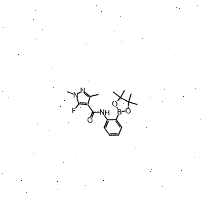 Cc1nn(C)c(F)c1C(=O)Nc1ccccc1B1OC(C)(C)C(C)(C)O1